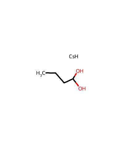 CCCC(O)O.[CsH]